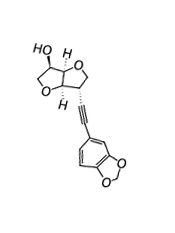 O[C@@H]1CO[C@H]2[C@@H]1OC[C@@H]2C#Cc1ccc2c(c1)OCO2